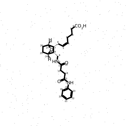 O=C(O)CCC/C=C\C[C@@H]1[C@H](CNC(=O)CCC(=O)Nc2ccccc2)[C@@H]2CC[C@H]1O2